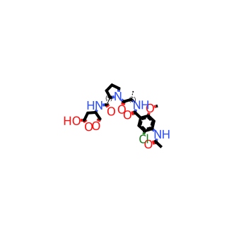 COc1cc(NC(C)=O)c(Cl)cc1C(=O)N[C@@H](C)C(=O)N1CCC[C@H]1C(=O)NC(C=O)CC(=O)O